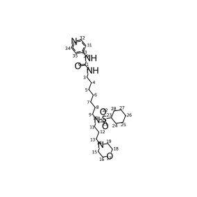 O=C(NCCCCCCCN(CCCN1CCOCC1)S(=O)(=O)C1CCCCC1)Nc1ccncc1